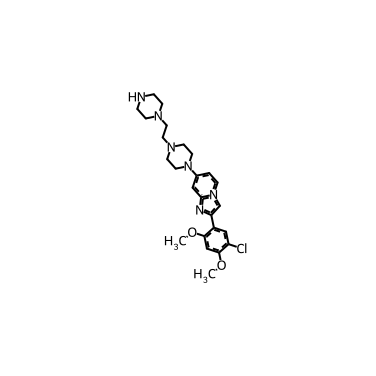 COc1cc(OC)c(-c2cn3ccc(N4CCN(CCN5CCNCC5)CC4)cc3n2)cc1Cl